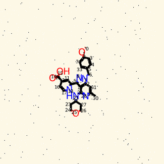 COc1ccc(Cn2nc(-c3cc(C(=O)O)ccn3)c3c(NC4CCOCC4)nc(C)cc32)cc1